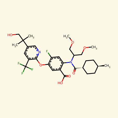 COCC(COC)N(c1cc(F)c(Oc2ncc(C(C)(C)CO)cc2C(F)(F)F)cc1C(=O)O)C(=O)[C@H]1CC[C@H](C)CC1